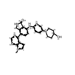 Cn1ccc2c(-c3ccc(Nc4ccc(N5CCC(O)CC5)cn4)c4c3CNC4=O)ncnc21